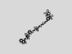 Cn1c(=O)n(C2CCC(=O)NC2=O)c2ccc(CCCOCCOCCNC(=O)CCCOc3cccc(N4C[C@H]5C[C@@H]4CN5/C=C/C(=O)c4ccccc4O)n3)cc21